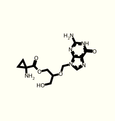 Nc1nc2c(ncn2COC(CO)COC(=O)C2(N)CC2)c(=O)[nH]1